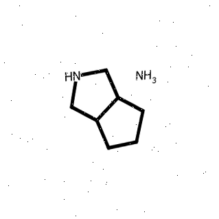 C1CC2CNCC2C1.N